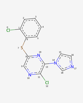 Clc1ccccc1Sc1cnc(Cl)c(-n2ccnc2)n1